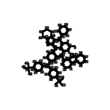 Cc1cc2c3c(c1)N(c1cccc4c1oc1ccccc14)c1cc(N(c4ccc(C(C)(C)C)cc4)c4ccc(C(C)(C)C)cc4)ccc1B3c1sc3c(c1N2c1ccccc1)CCCC3